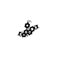 Cc1ccc([C@H]2C[C@@]3(C)[C@@H](CCC34OCCO4)[C@@H]3CC=C4CC5(CC[C@@H]4[C@H]32)OCCO5)cc1